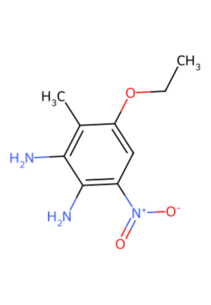 CCOc1cc([N+](=O)[O-])c(N)c(N)c1C